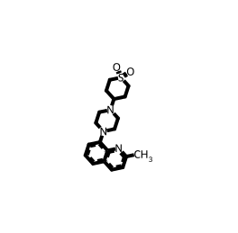 Cc1ccc2cccc(N3CCN(C4CCS(=O)(=O)CC4)CC3)c2n1